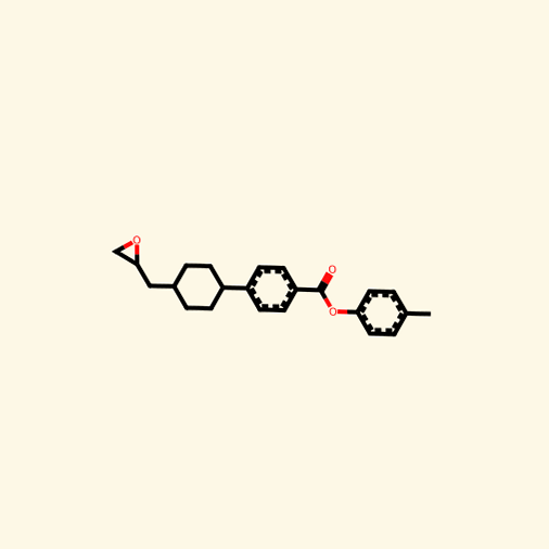 Cc1ccc(OC(=O)c2ccc(C3CCC(CC4CO4)CC3)cc2)cc1